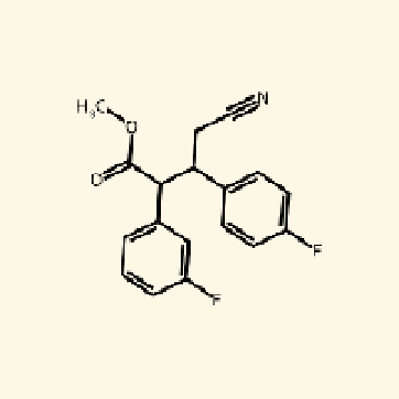 COC(=O)C(c1cccc(F)c1)C(CC#N)c1ccc(F)cc1